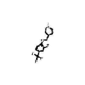 Fc1cc(C(F)(F)F)ccc1OCC1CCNCC1